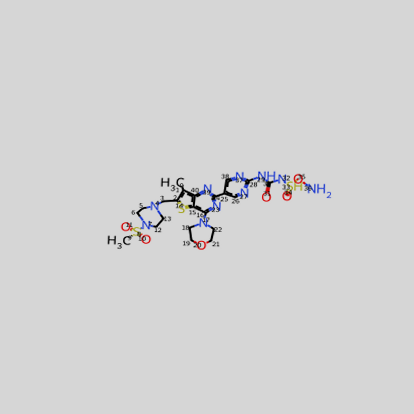 Cc1c(CN2CCN(S(C)(=O)=O)CC2)sc2c(N3CCOCC3)nc(-c3cnc(NC(=O)N=[SH](=O)ON)nc3)nc12